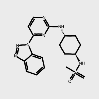 C=S(C)(=O)N[C@H]1CC[C@H](Nc2nccc(-n3nnc4ccccc43)n2)CC1